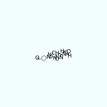 Cc1nn(C2CCC(C=O)CC2)cc1N1CC=C2N=C(N3C[C@H]4C[C@@H]3CO4)C=CN21